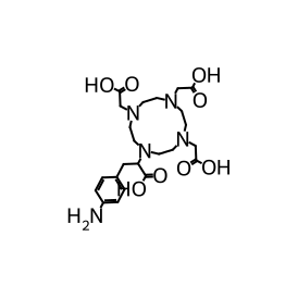 Nc1ccc(CC(C(=O)O)N2CCN(CC(=O)O)CCN(CC(=O)O)CCN(CC(=O)O)CC2)cc1